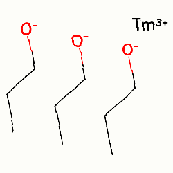 CCC[O-].CCC[O-].CCC[O-].[Tm+3]